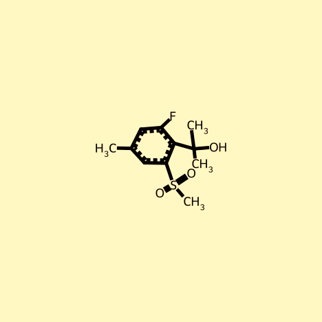 Cc1cc(F)c(C(C)(C)O)c(S(C)(=O)=O)c1